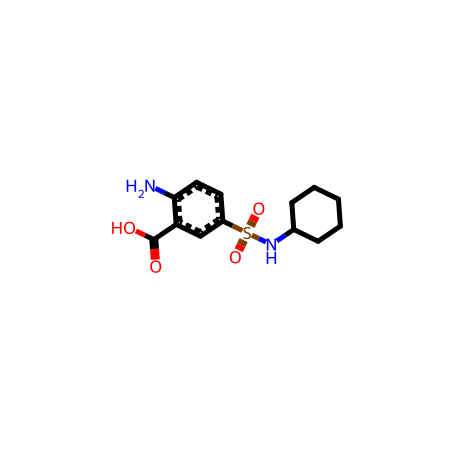 Nc1ccc(S(=O)(=O)NC2CCCCC2)cc1C(=O)O